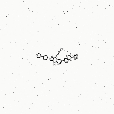 C[C@@H](Cn1cnnn1)Oc1cc(-c2cnc(Nc3cn([C@H]4CC[C@H](N5CCOCC5)CC4)nc3OCCOCC(F)(F)F)nc2)ccc1Cl